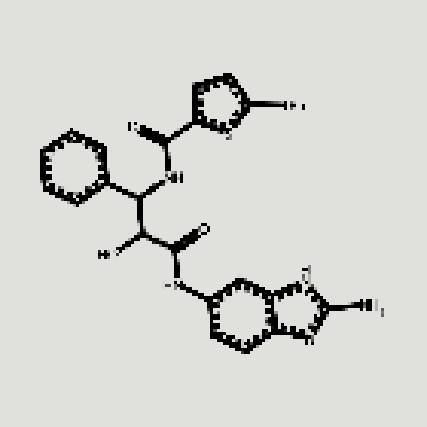 CC(C)(C)c1ccc(C(=O)NC(c2ccccc2)C(O)C(=O)Nc2ccc3nc(N)[nH]c3c2)s1